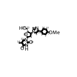 COc1ccc(-c2cn(C3CC(n4cc(C)c(=O)[nH]c4=O)O[C@@H]3CO)nn2)cc1